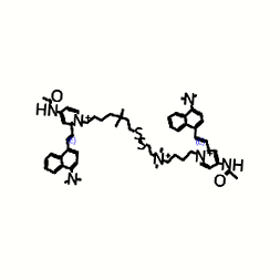 CC(=O)Nc1cc[n+](CCCCC(C)(C)CCSSCC[N+](C)(C)CCCC[n+]2ccc(NC(C)=O)cc2/C=C/c2ccc(N(C)C)c3ccccc23)c(/C=C/c2ccc(N(C)C)c3ccccc23)c1